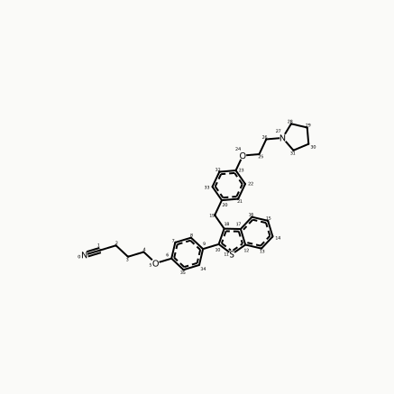 N#CCCCOc1ccc(-c2sc3ccccc3c2Cc2ccc(OCCN3CCCC3)cc2)cc1